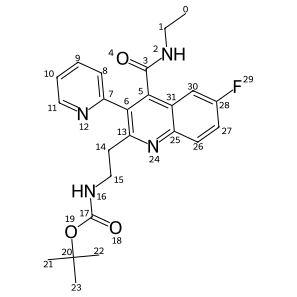 CCNC(=O)c1c(-c2ccccn2)c(CCNC(=O)OC(C)(C)C)nc2ccc(F)cc12